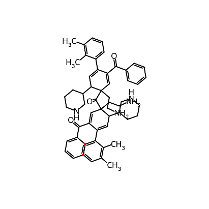 Cc1cccc(C2=CC(C3CCCNC3)C(CCN)(C(=O)C3(CCN)C=C(C(=O)c4ccccc4)C(c4cccc(C)c4C)=CC3C3CCCNC3)C=C2C(=O)c2ccccc2)c1C